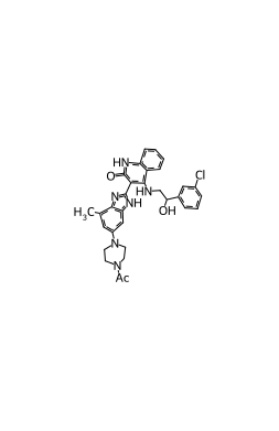 CC(=O)N1CCN(c2cc(C)c3nc(-c4c(NCC(O)c5cccc(Cl)c5)c5ccccc5[nH]c4=O)[nH]c3c2)CC1